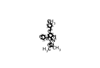 Cc1nc(Sc2ncnc3cc(OCC4CCN(C)CC4)cc(OC4CCOCC4)c23)oc1C